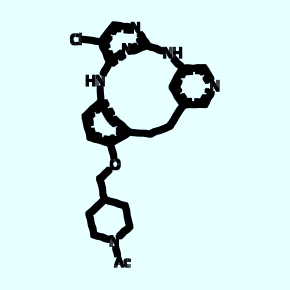 CC(=O)N1CCC(COc2ccc3cc2CCc2cncc(c2)Nc2ncc(Cl)c(n2)N3)CC1